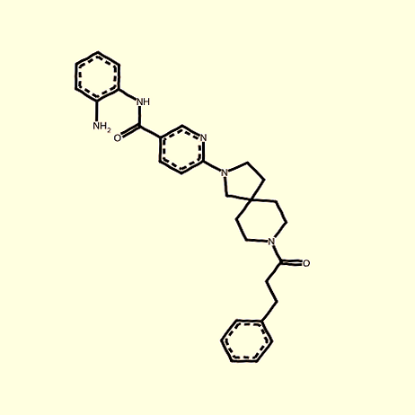 Nc1ccccc1NC(=O)c1ccc(N2CCC3(CCN(C(=O)CCc4ccccc4)CC3)C2)nc1